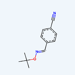 CC(C)(C)O/N=[C]/c1ccc(C#N)cc1